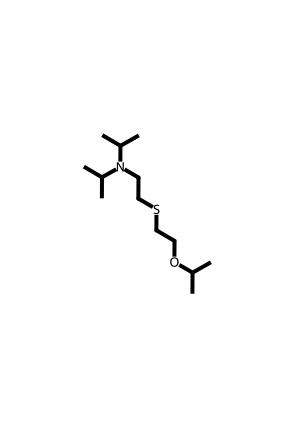 CC(C)OCCSCCN(C(C)C)C(C)C